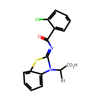 CCC(C(=O)O)n1/c(=N/C(=O)c2ccccc2Cl)sc2ccccc21